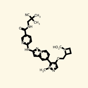 Cn1ncc(OCC2CCN2C(=O)O)c1-c1ccn2nc(Nc3ccc(C(=O)NCC(C)(C)C#N)cn3)cc2c1